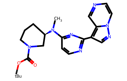 CN(c1ccnc(-c2cnn3ccncc23)n1)[C@@H]1CCCN(C(=O)OC(C)(C)C)C1